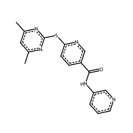 Cc1cc(C)nc(Sc2ccc(C(=O)Nc3cccnc3)cn2)n1